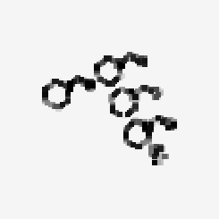 O=CN1CCCCC1.O=CN1CCCCC1.O=CN1CCCCC1.O=CN1CCCCC1.[Cl-].[Li+]